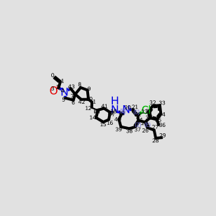 C=CC(=O)N1CCC2(CCC(CC[C@@H]3CCC[C@H](N/C4=N/C=C(Cl)\C(C(=C\CCC)\c5ccccc5C)=C/CCC4)C3)C2)C1